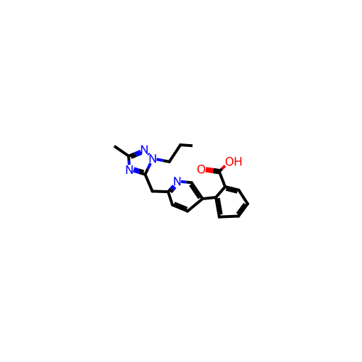 CCCn1nc(C)nc1Cc1ccc(-c2ccccc2C(=O)O)cn1